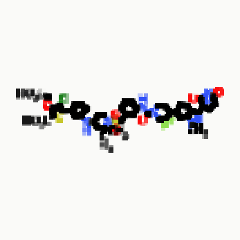 Cn1nc(C2CCC(=O)NC2=O)c2ccc(C3CCN(C(=O)Nc4cccc(CS(=O)(=O)N5CC[C@@H](Nc6cccc(-c7sc(C(=O)O)c(OCC(=O)O)c7Cl)c6)CC5(C)C)c4)CC3(F)F)cc21